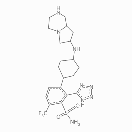 NS(=O)(=O)c1c(C(F)(F)F)ccc(C2CCC(NC3CC4CNCCN4C3)CC2)c1-c1nnn[nH]1